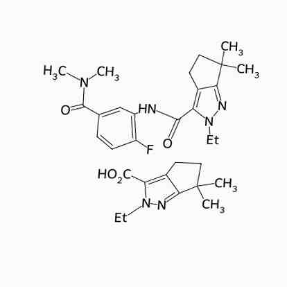 CCn1nc2c(c1C(=O)Nc1cc(C(=O)N(C)C)ccc1F)CCC2(C)C.CCn1nc2c(c1C(=O)O)CCC2(C)C